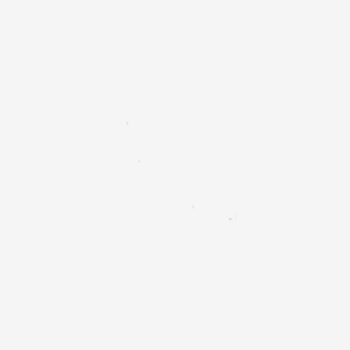 [O]C(=O)CO[SiH3]